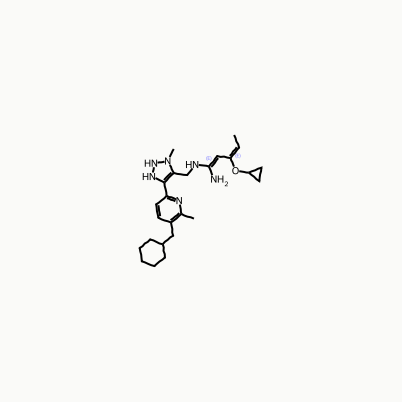 C/C=C(\C=C(/N)NCC1=C(c2ccc(CC3CCCCC3)c(C)n2)NNN1C)OC1CC1